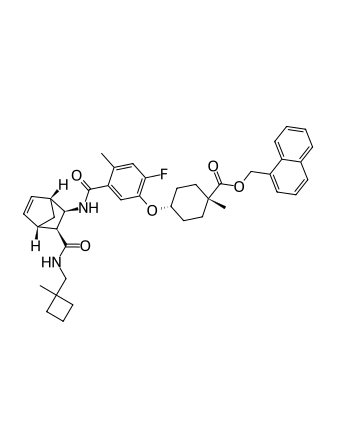 Cc1cc(F)c(O[C@H]2CC[C@@](C)(C(=O)OCc3cccc4ccccc34)CC2)cc1C(=O)N[C@H]1[C@@H](C(=O)NCC2(C)CCC2)[C@@H]2C=C[C@H]1C2